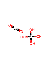 O[Si](O)(O)O.[O]=[La]=[O]